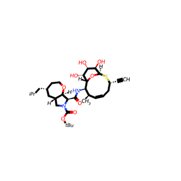 C#C[C@@H]1C/C=C\[C@@H](C)[C@@H](NC(=O)[C@@H]2[C@@H]3OCC[C@@H](CC(C)C)C[C@H]3CN2C(=O)OC(C)(C)C)[C@H]2O[C@H](S1)[C@H](O)[C@@H](O)[C@H]2O